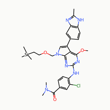 COc1nc(Nc2ccc(C(=O)N(C)C)cc2Cl)nc2c1c(-c1ccc3[nH]c(C)nc3c1)cn2COCC[Si](C)(C)C